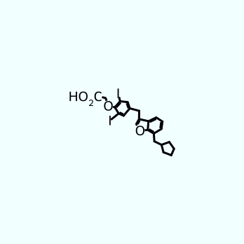 O=C(O)COc1c(I)cc(Cc2coc3c(CC4CCCC4)cccc23)cc1I